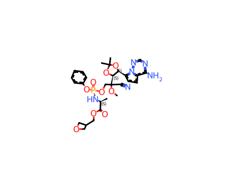 COC(C#N)(COP(=O)(N[C@@H](C)C(=O)OCC1COC1)Oc1ccccc1)[C@H]1OC(C)(C)O[C@H]1c1ccc2c(N)ncnn12